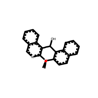 COc1ccc2ccccc2c1C(O)c1c(OC)ncc2ccccc12